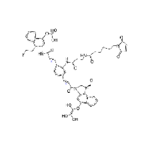 O=C(/C=C/c1ccc(/C=C/C(=O)N2C[C@@H](CCl)c3c2cc(OC(O)=C(O)O)c2ccccc32)cc1NC(=O)CCNC(=O)CCCCCN1C(=O)C=CC1=O)Nc1cc(O[PH](=O)O)c2ccccc2c1CCI